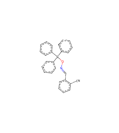 N#Cc1ccccc1C=NO[Si](c1ccccc1)(c1ccccc1)c1ccccc1